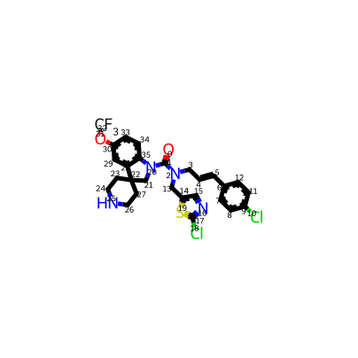 O=C(N(CC=Cc1ccc(Cl)cc1)Cc1cnc(Cl)s1)N1CC2(CCNCC2)c2cc(OC(F)(F)F)ccc21